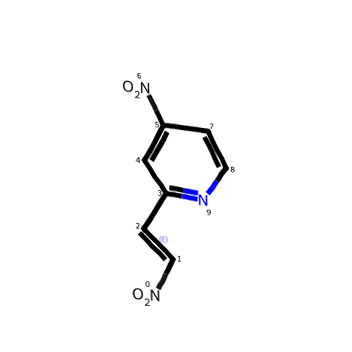 O=[N+]([O-])/C=[C]/c1cc([N+](=O)[O-])ccn1